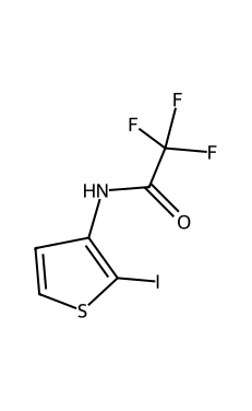 O=C(Nc1ccsc1I)C(F)(F)F